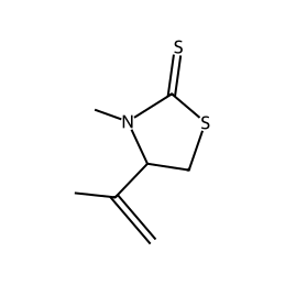 C=C(C)C1CSC(=S)N1C